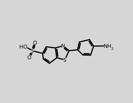 Nc1ccc(-c2nc3cc(S(=O)(=O)O)ccc3s2)cc1